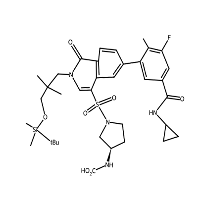 Cc1c(F)cc(C(=O)NC2CC2)cc1-c1ccc2c(=O)n(CC(C)(C)CO[Si](C)(C)C(C)(C)C)cc(S(=O)(=O)N3CC[C@@H](NC(=O)O)C3)c2c1